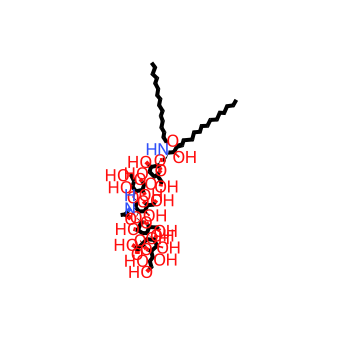 CCCCCCCCCCCCC/C=C/[C@@H](O)[C@H](CO[C@@H]1OC(CO)[C@@H](O[C@@H]2OC(CO)[C@H](O)[C@H](O[C@@H]3OC(CO)[C@@H](O)[C@H](O[C@@H]4OC(CO)[C@H](O)[C@H](O[C@]5(C(=O)O)CC(O)[C@@H](O)C([C@H](O)[C@H](O)CO)O5)C4O)C3NC(C)=O)C2O)[C@H](O)C1O)NC(=O)CCCCCCCCCCCCCCC